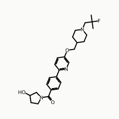 CC(C)(F)CN1CCC(COc2ccc(-c3ccc(C(=O)N4CCC(O)C4)cc3)nc2)CC1